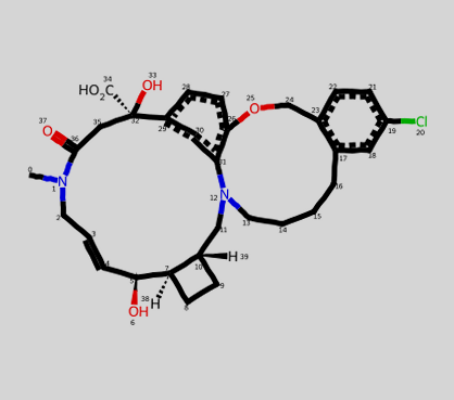 CN1C/C=C/[C@H](O)[C@@H]2CC[C@H]2CN2CCCCc3cc(Cl)ccc3COc3ccc(cc32)[C@@](O)(C(=O)O)CC1=O